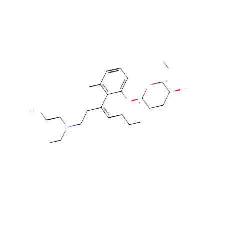 CCC/C=C(/CCN(CC)CCC)c1c(C)cccc1O[C@@H]1C[C@@H](O)[C@H](O)[C@@H](CO)O1